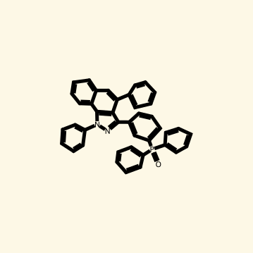 O=P(c1ccccc1)(c1ccccc1)c1cccc(-c2nn(-c3ccccc3)c3c2c(-c2ccccc2)cc2ccccc23)c1